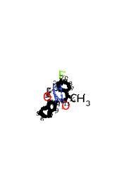 CCO[C@@H]1c2ccccc2C[C@H]1NC(=O)C(C)c1ccc(F)cc1